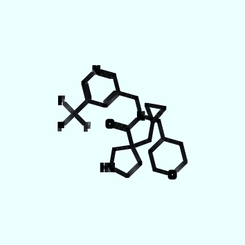 O=C(N(Cc1cncc(C(F)(F)F)c1)CC1CCOCC1)C1(CC2CC2)CCNC1